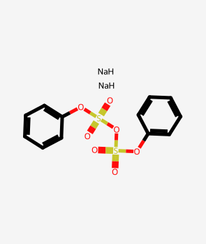 O=S(=O)(Oc1ccccc1)OS(=O)(=O)Oc1ccccc1.[NaH].[NaH]